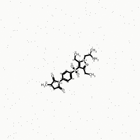 CCc1nn(C[C@@H](C)N)c(CC)c1S(=O)(=O)c1ccc(N2C(=O)CC(C)C2=O)cc1